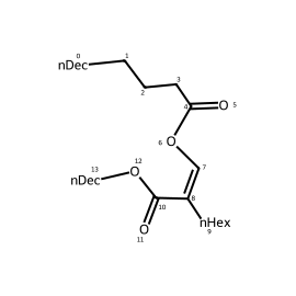 CCCCCCCCCCCCCC(=O)OC=C(CCCCCC)C(=O)OCCCCCCCCCC